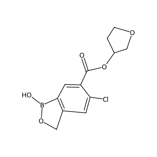 O=C(OC1CCOC1)c1cc2c(cc1Cl)COB2O